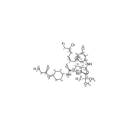 CC(/C=C\C=C(\Cl)CF)[C@H]1[C@H](C(=O)N[C@H]2CC[C@H](OC(=O)CN)CC2)N[C@H](CC(C)(C)C)[C@]12C(=O)Nc1cc(Cl)ccc12